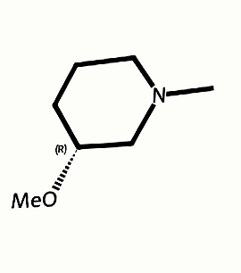 CO[C@@H]1CCCN(C)C1